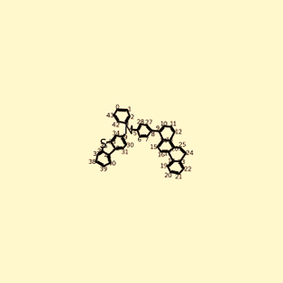 c1ccc(N(c2ccc(-c3cccc4c3ccc3c5ccccc5ccc43)cc2)c2ccc3c(c2)sc2ccccc23)cc1